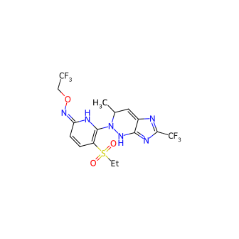 CCS(=O)(=O)c1ccc(=NOCC(F)(F)F)[nH]c1N1NC2=NC(C(F)(F)F)=NC2=CC1C